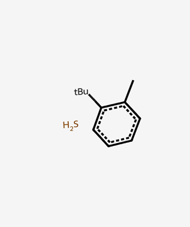 Cc1ccccc1C(C)(C)C.S